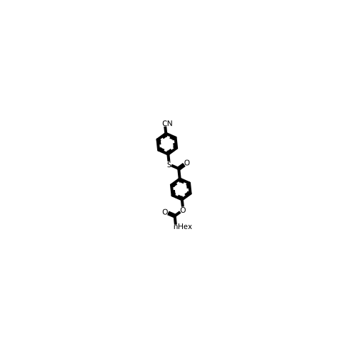 CCCCCCC(=O)Oc1ccc(C(=O)Sc2ccc(C#N)cc2)cc1